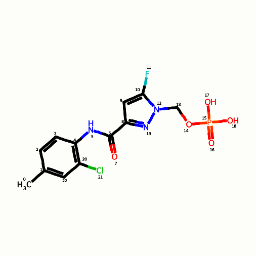 Cc1ccc(NC(=O)c2cc(F)n(COP(=O)(O)O)n2)c(Cl)c1